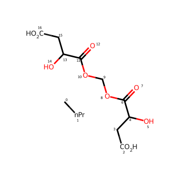 CCCC.O=C(O)CC(O)C(=O)OCOC(=O)C(O)CC(=O)O